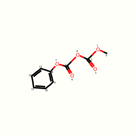 COC(=O)OC(=O)Oc1ccccc1